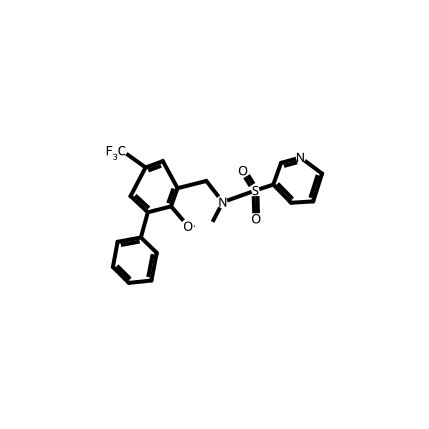 CN(Cc1cc(C(F)(F)F)cc(-c2ccccc2)c1[O])S(=O)(=O)c1cccnc1